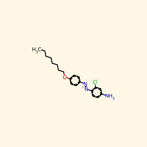 CCCCCCCCOc1ccc(/N=N/c2ccc(N)cc2Cl)cc1